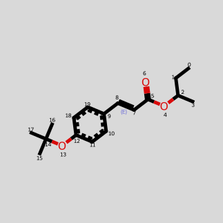 CCC(C)OC(=O)/C=C/c1ccc(OC(C)(C)C)cc1